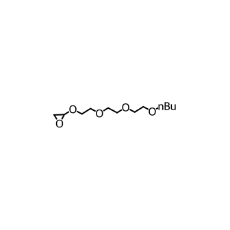 CCCCOCCOCCOCCOC1CO1